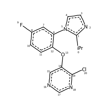 CC(C)c1nccn1-c1cc(F)ccc1Oc1cncnc1Cl